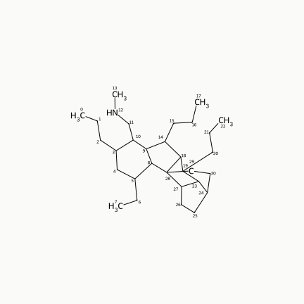 CCCC1CC(CC)C2C(C1CNC)C(CCC)C1C(CCC)C3C4CCC3C12CC4